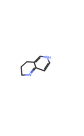 C1=CC2=NCCCC2=CN1